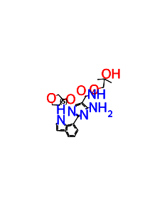 CC(C)(O)CONC(=O)c1c(N)nc(-c2cccc3cc[nH]c23)nc1O[C@H]1CCOC1